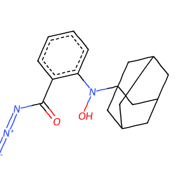 [N-]=[N+]=NC(=O)c1ccccc1N(O)C12CC3CC(CC(C3)C1)C2